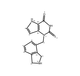 O=c1[nH]c(=S)n(Cc2cccc3c2CNC3)c2cc[nH]c12